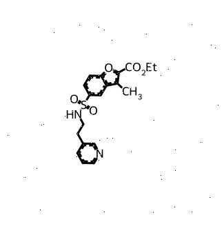 CCOC(=O)c1oc2ccc(S(=O)(=O)NCCc3cccnc3)cc2c1C